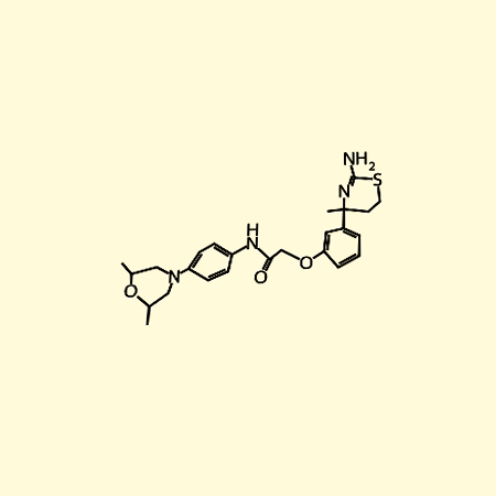 CC1CN(c2ccc(NC(=O)COc3cccc(C4(C)CCSC(N)=N4)c3)cc2)CC(C)O1